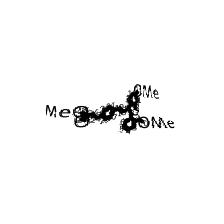 COCc1ccccc1C1Sc2cc(OC)ccc2C1CCc1ccc(CCC(=O)OC)cc1